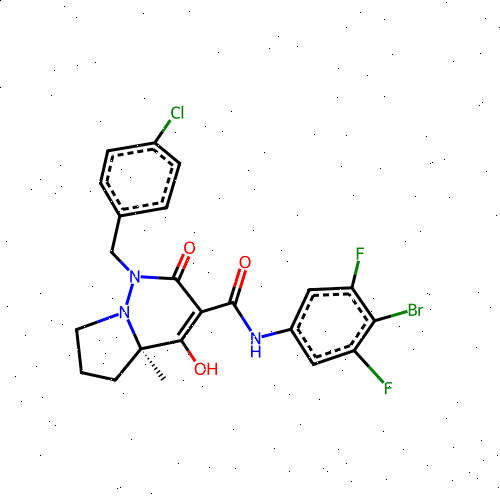 C[C@]12CCCN1N(Cc1ccc(Cl)cc1)C(=O)C(C(=O)Nc1cc(F)c(Br)c(F)c1)=C2O